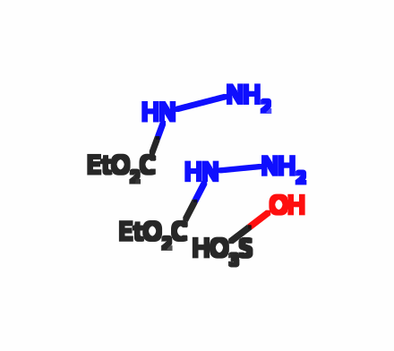 CCOC(=O)NN.CCOC(=O)NN.O=S(=O)(O)O